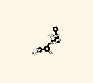 CN1C=C(c2cc(C#N)cc(CNC(=O)c3ncnc4nc(C5CCCC5)n(C)c34)c2)CN1